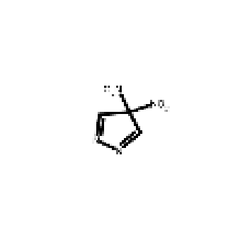 O=[N+]([O-])C1([N+](=O)[O-])C=NN=C1